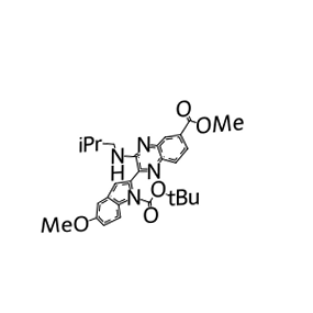 COC(=O)c1ccc2nc(-c3cc4cc(OC)ccc4n3C(=O)OC(C)(C)C)c(NCC(C)C)nc2c1